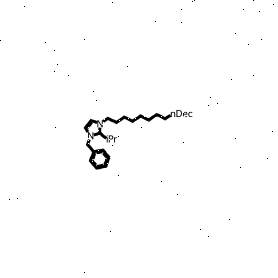 CCCCCCCCCCCCCCCCCCN1C=CN(Cc2ccccc2)C1C(C)C